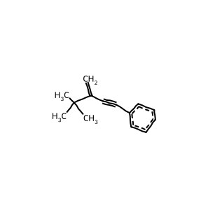 C=C(C#Cc1ccccc1)C(C)(C)C